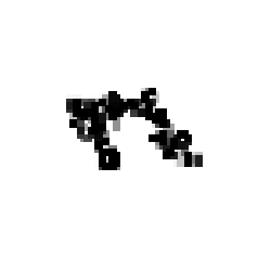 CC(C)(C)OC(=O)NCC1CN(C(=O)OCc2cnn(C[C@H]3NC(=O)[C@H]3NC(=O)OCc3ccccc3)n2)C1